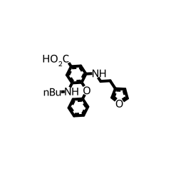 CCCCNc1cc(C(=O)O)cc(NCCc2ccoc2)c1Oc1ccccc1